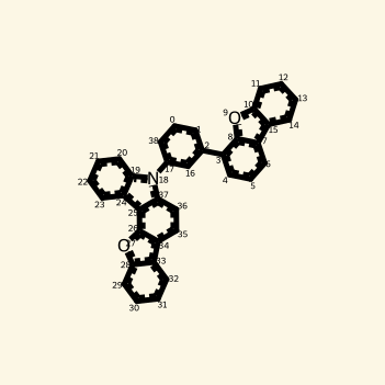 c1cc(-c2cccc3c2oc2ccccc23)cc(-n2c3ccccc3c3c4oc5ccccc5c4ccc32)c1